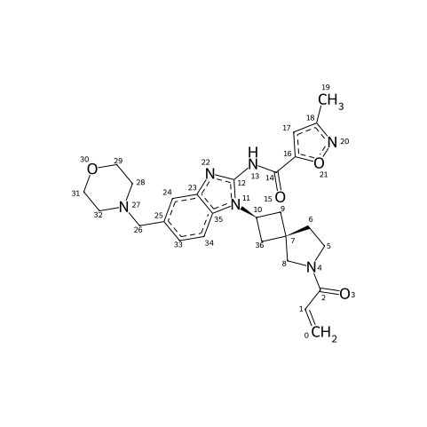 C=CC(=O)N1CC[C@]2(C1)C[C@H](n1c(NC(=O)c3cc(C)no3)nc3cc(CN4CCOCC4)ccc31)C2